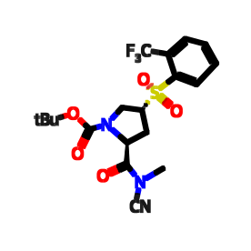 CN(C#N)C(=O)[C@@H]1C[C@@H](S(=O)(=O)c2ccccc2C(F)(F)F)CN1C(=O)OC(C)(C)C